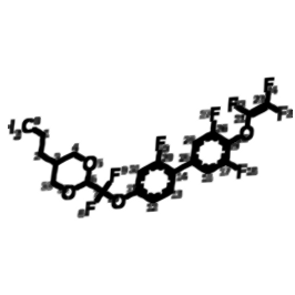 CCCC1COC(C(F)(F)Oc2ccc(-c3cc(F)c(OC(F)=C(F)F)c(F)c3)c(F)c2)OC1